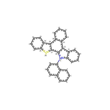 c1ccc2c(-n3c4ccccc4c4c5ccccc5c5c6ccccc6sc5c43)cccc2c1